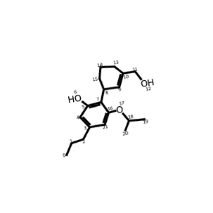 CCCc1cc(O)c(C2C=C(CO)CCC2)c(OC(C)C)c1